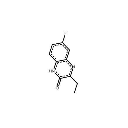 CCc1nc2cc(F)ccc2[nH]c1=O